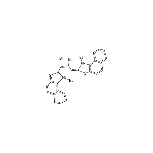 CCC(=Cc1sc2ccc3ccccc3c2[n+]1CC)C=C1Sc2ccc3ccccc3c2N1CC.[Br-]